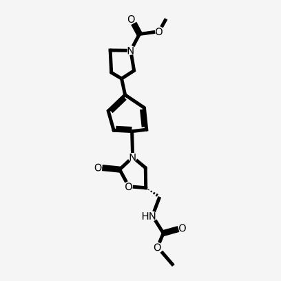 COC(=O)NC[C@H]1CN(c2ccc(C3CCN(C(=O)OC)C3)cc2)C(=O)O1